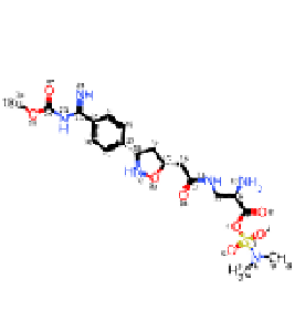 CN(C)S(=O)(=O)OC(=O)C(N)CNC(=O)C[C@H]1C[C@@H](c2ccc(C(=N)NC(=O)OC(C)(C)C)cc2)NO1